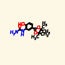 CC1(C)OB(c2ccc(O)c(NC(N)=O)c2)OC1(C)C